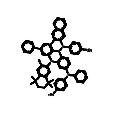 CCCCc1ccc(N(c2ccccc2)c2ccc3c(c2)N(c2cc4c(cc2C)C(C)(C)CCC4(C)C)c2cc(-c4ccccc4)cc4c2B3N(c2ccc(C(C)(C)C)cc2)c2cc3ccccc3cc2-4)cc1